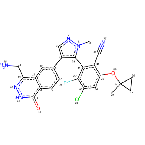 Cn1ncc(-c2ccc3c(=O)[nH]nc(CN)c3c2)c1-c1c(F)c(Cl)cc(OC2(C)CC2)c1C#N